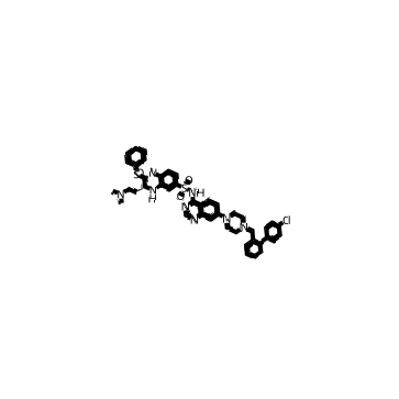 CN(C)CC[C@H](CSc1ccccc1)Nc1cc(S(=O)(=O)Nc2ncnc3cc(N4CCN(Cc5ccccc5-c5ccc(Cl)cc5)CC4)ccc23)ccc1[N+](=O)[O-]